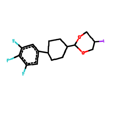 Fc1cc(C2CCC(C3OCC(I)CO3)CC2)cc(F)c1F